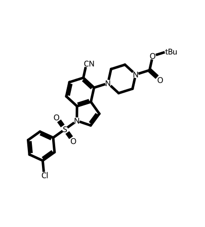 CC(C)(C)OC(=O)N1CCN(c2c(C#N)ccc3c2ccn3S(=O)(=O)c2cccc(Cl)c2)CC1